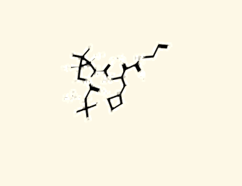 C=CCNC(=O)C(=O)C(CC1CCC1)NC(=O)[C@@H]1[C@@H]2[C@H](CN1C(=O)[C@@H](N)C(C)(C)C)C2(C)C